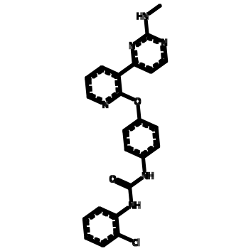 CNc1nccc(-c2cccnc2Oc2ccc(NC(=O)Nc3ccccc3Cl)cc2)n1